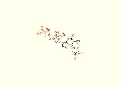 N#Cc1c(Cl)nc2c(ccn2[C@@H]2O[C@H](COCP(=O)(O)O)[C@@H](O)[C@H]2O)c1N1C[C@@H](F)[C@@H](F)C1